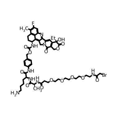 CC[C@@]1(O)C(=O)OCc2c1cc1n(c2=O)Cc2c-1nc1cc(F)c(C)c3c1c2[C@@H](NC(=O)OCc1ccc(NC(=O)C(CCCCN)NC(=O)[C@H](C)NC(=O)CCOCCOCCOCCOCCNC(=O)CBr)cc1)CC3